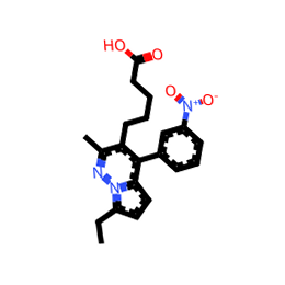 CCc1ccc2c(-c3cccc([N+](=O)[O-])c3)c(CCCCC(=O)O)c(C)nn12